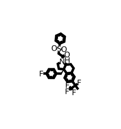 CC(F)(c1ccc2c(c1)CC[C@H]1N(C(=O)CS(=O)(=O)c3ccccc3)CC[C@@]21Cc1ccc(F)cc1)C(F)(F)F